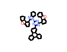 c1ccc2c(c1)nc(-c1cccc3oc4ccccc4c13)n2-c1nc(-c2ccc3c4ccccc4c4ccccc4c3c2)nc(-c2cccc3oc4ccccc4c23)n1